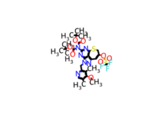 COc1c(C)cnc(Cn2nc3c4c(nc(N(C(=O)OC(C)(C)C)C(=O)OC(C)(C)C)nc42)SCC(OS(=O)(=O)C(F)(F)F)=C3)c1C